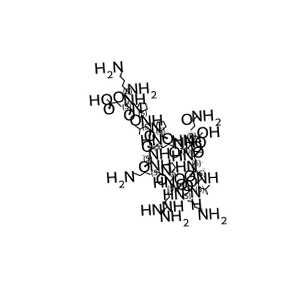 CC(C)[C@H](NC(=O)[C@H](CCCCN)NC(=O)[C@H](CCCNC(=N)N)NC(=O)[C@@H]1CCCN1C(=O)[C@H](CCCCN)NC(=O)[C@H](C)NC(=O)[C@H](CCC(N)=O)NC(=O)[C@@H]1CCCN1C(=O)[C@@H](NC(=O)[C@@H]1CCCN1C(=O)[C@H](CCC(=O)O)NC(=O)[C@@H](N)CCCCN)C(C)C)C(=O)N[C@@H](C)C(=O)N[C@@H](C)C(=O)N[C@@H](C)C(=O)N[C@H](CCC(N)=O)C(=O)O